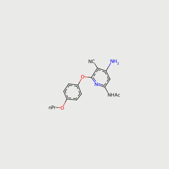 CCCOc1ccc(Oc2nc(NC(C)=O)cc(N)c2C#N)cc1